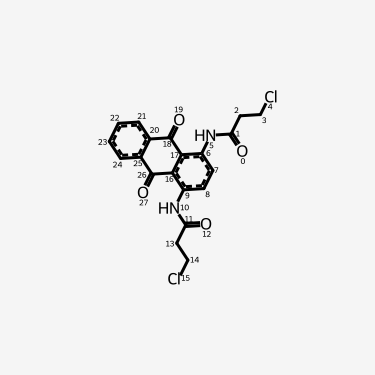 O=C(CCCl)Nc1ccc(NC(=O)CCCl)c2c1C(=O)c1ccccc1C2=O